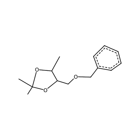 CC1OC(C)(C)OC1COCc1ccccc1